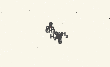 Cc1cccc(N(c2ccccc2)c2ccc(C=Cc3ccc(C4(CN)c5ccc(cc5)N(c5ccccc5)c5ccc4c(C)c5)cc3)cc2)c1